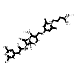 Cc1cc(SCC2=C(C(=O)O)N3C(=O)[C@H](NC(=S)Cc4cc(Cl)nc(Cl)c4)[C@H]3SC2)cc(C)[n+]1CCC[C@H](N)C(=O)O